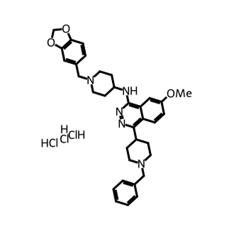 COc1ccc2c(C3CCN(Cc4ccccc4)CC3)nnc(NC3CCN(Cc4ccc5c(c4)OCO5)CC3)c2c1.Cl.Cl.Cl